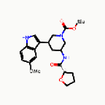 COc1ccc2[nH]cc(C3CC(NC(=O)[C@@H]4CCCO4)CN(C(=O)OC(C)(C)C)C3)c2c1